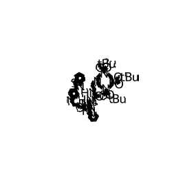 CC(C)C[C@H](Nc1nc(OCCN(C)c2ccc(-c3nc4ccccc4s3)cc2)nc(N2CCCCC2)n1)C(=O)NCCCN1CCN(C(=O)OC(C)(C)C)CCN(C(=O)OC(C)(C)C)CCN(C(=O)OC(C)(C)C)CC1